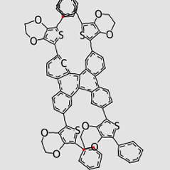 c1ccc(-c2sc(-c3ccc4c5ccc(-c6sc(-c7ccccc7)c7c6OCCO7)cc5c5c6cc(-c7sc(-c8ccccc8)c8c7OCCO8)ccc6c6ccc(-c7sc(-c8ccccc8)c8c7OCCO8)cc6c5c4c3)c3c2OCCO3)cc1